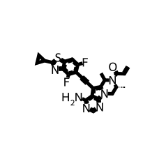 C=CC(=O)N1C(C)c2c(C#Cc3c(F)cc4sc(C5CC5)nc4c3F)c3c(N)ncnc3n2C[C@H]1C